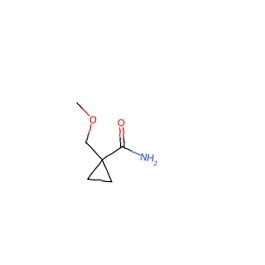 COCC1(C(N)=O)CC1